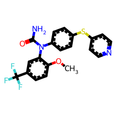 COc1ccc(C(F)(F)F)cc1N(C(N)=O)c1ccc(Sc2ccncc2)cc1